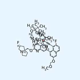 COCOc1cc(-c2cc3nc(OC[C@@]45CCCN4C[C@H](F)C5)nc(N[C@@H]4C[C@H]4O[Si](C)(C)C(C)(C)C)c3c(OC)n2)c2c(C#C[Si](C(C)C)(C(C)C)C(C)C)c(F)ccc2c1